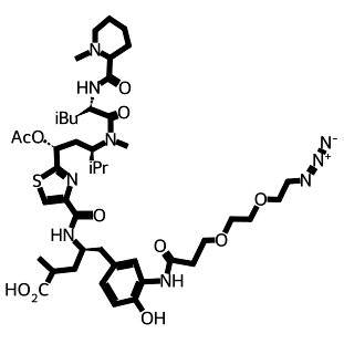 CC[C@H](C)[C@H](NC(=O)C1CCCCN1C)C(=O)N(C)[C@H](C[C@@H](OC(C)=O)c1nc(C(=O)N[C@@H](Cc2ccc(O)c(NC(=O)CCOCCOCCN=[N+]=[N-])c2)CC(C)C(=O)O)cs1)C(C)C